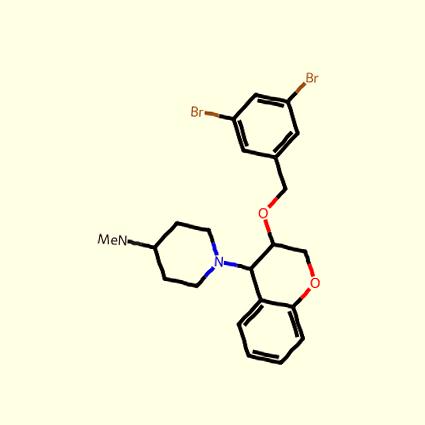 CNC1CCN(C2c3ccccc3OCC2OCc2cc(Br)cc(Br)c2)CC1